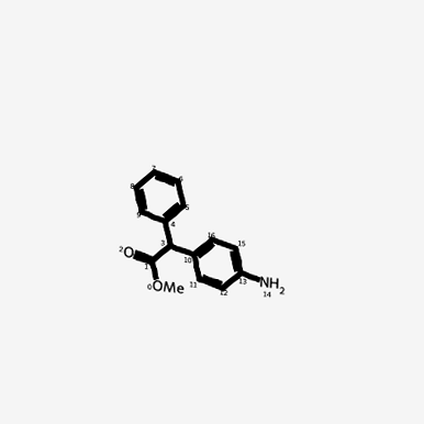 COC(=O)C(c1ccccc1)c1ccc(N)cc1